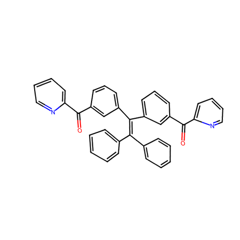 O=C(c1cccc(C(=C(c2ccccc2)c2ccccc2)c2cccc(C(=O)c3ccccn3)c2)c1)c1ccccn1